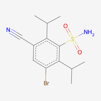 CC(C)c1c(Br)cc(C#N)c(C(C)C)c1S(N)(=O)=O